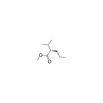 CCC[C@@H](C(=O)OC)C(C)C